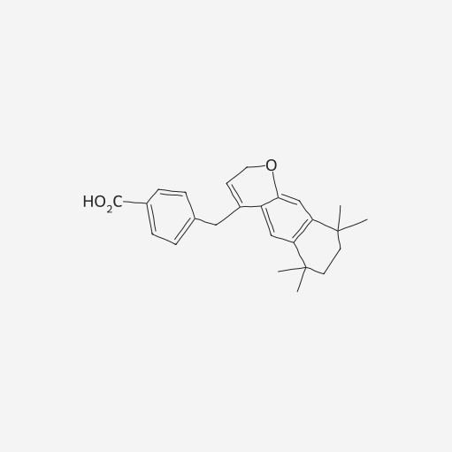 CC1(C)CCC(C)(C)c2cc3c(cc21)OCC=C3Cc1ccc(C(=O)O)cc1